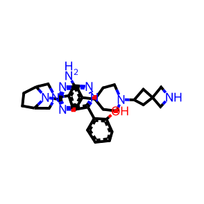 Nc1nnc(-c2ccccc2O)cc1N1CC2CCC(C1)N2c1ncc(C2CCN(C3CC4(CNC4)C3)CC2)cn1